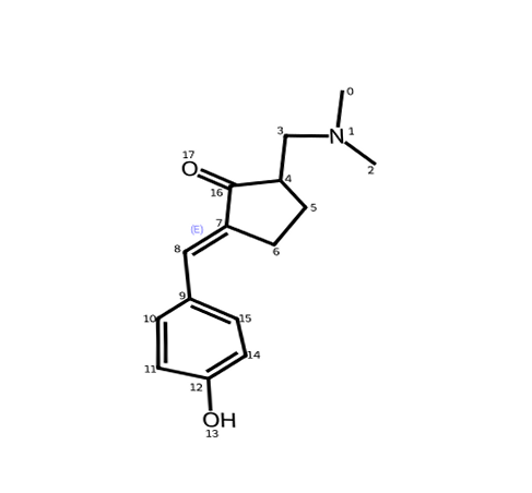 CN(C)CC1CC/C(=C\c2ccc(O)cc2)C1=O